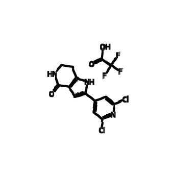 O=C(O)C(F)(F)F.O=C1NCCc2[nH]c(-c3cc(Cl)nc(Cl)c3)cc21